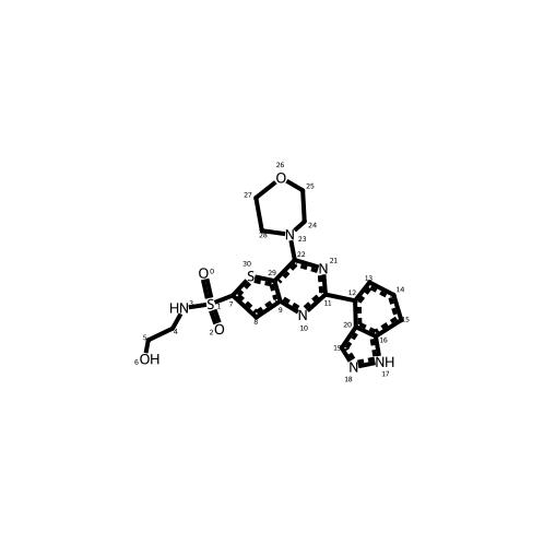 O=S(=O)(NCCO)c1cc2nc(-c3cccc4[nH]ncc34)nc(N3CCOCC3)c2s1